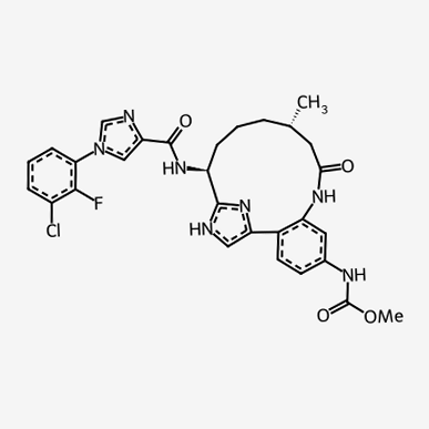 COC(=O)Nc1ccc2c(c1)NC(=O)C[C@@H](C)CCC[C@H](NC(=O)c1cn(-c3cccc(Cl)c3F)cn1)c1nc-2c[nH]1